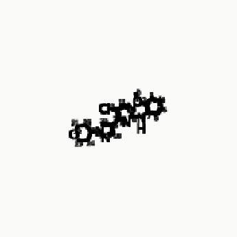 COc1c[c]ccc1Nc1ncc(Cl)c(-c2cnn(C3CCOCC3)c2)n1